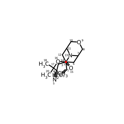 C=CC1(CC#N)CC2COCC(C1)N2C(=O)OC(C)(C)C